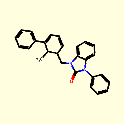 CC1C(c2ccccc2)=CC=CC1Cn1c(=O)n(-c2ccccc2)c2ccccc21